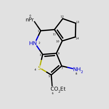 CCCC1Nc2sc(C(=O)OCC)c(N)c2C2=C1CCC2